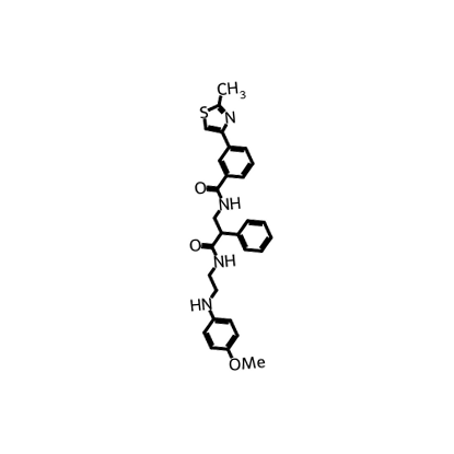 COc1ccc(NCCNC(=O)C(CNC(=O)c2cccc(-c3csc(C)n3)c2)c2ccccc2)cc1